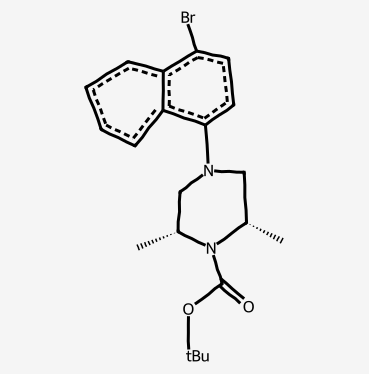 C[C@@H]1CN(c2ccc(Br)c3ccccc23)C[C@H](C)N1C(=O)OC(C)(C)C